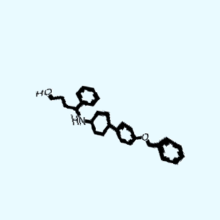 OCCCC(NC1CCC(c2ccc(OCc3ccccc3)cc2)CC1)c1ccccc1